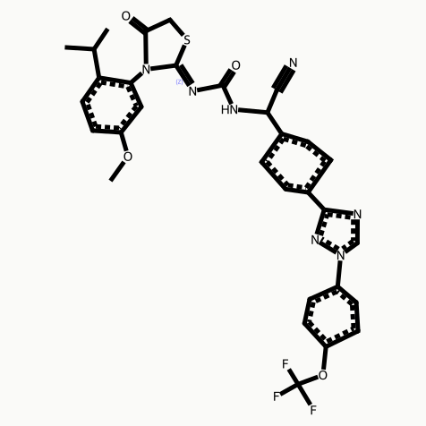 COc1ccc(C(C)C)c(N2C(=O)CS/C2=N\C(=O)NC(C#N)c2ccc(-c3ncn(-c4ccc(OC(F)(F)F)cc4)n3)cc2)c1